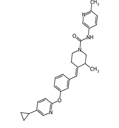 Cc1ccc(NC(=O)N2CCC(=Cc3cccc(Oc4ccc(C5CC5)cn4)c3)C(C)C2)cn1